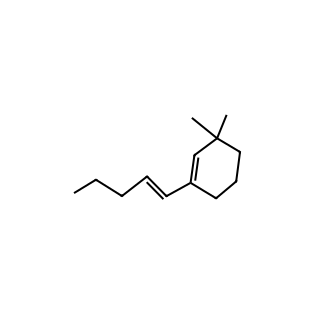 CCCC=CC1=CC(C)(C)CCC1